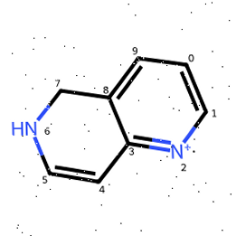 C1=C[N+]=C2C=CNCC2=C1